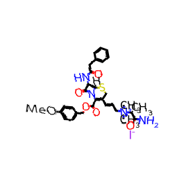 COc1ccc(COC(=O)C2=C(/C=C/C[N+](C)(C)[C@H](C)C(N)=O)CS[C@H]3[C@H](NC(=O)Cc4ccccc4)C(=O)N23)cc1.[I-]